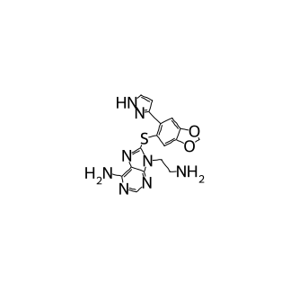 NCCn1c(Sc2cc3c(cc2-c2cc[nH]n2)OCO3)nc2c(N)ncnc21